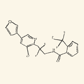 O=C(NCC(F)(F)c1ncc(-c2ccoc2)cc1Cl)c1ccccc1C(F)(F)F